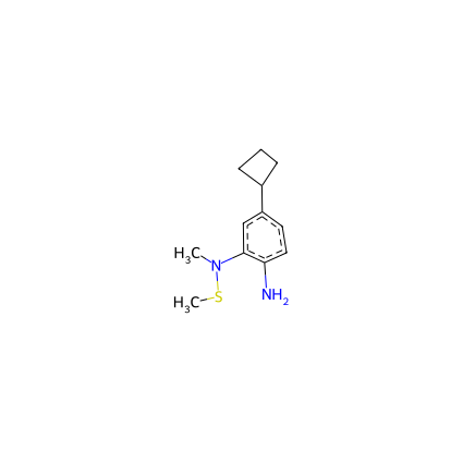 CSN(C)c1cc(C2CCC2)ccc1N